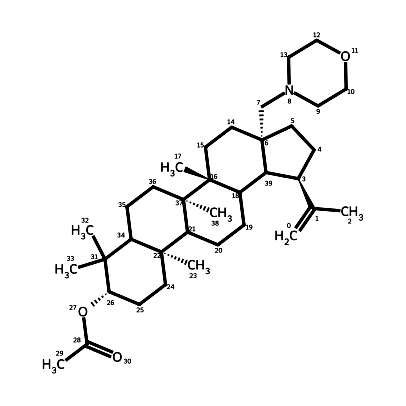 C=C(C)[C@@H]1CC[C@]2(CN3CCOCC3)CC[C@]3(C)C(CCC4[C@@]5(C)CC[C@H](OC(C)=O)C(C)(C)C5CC[C@]43C)C12